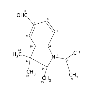 CC(Cl)N1c2ccc(C=O)cc2C(C)(C)C1C